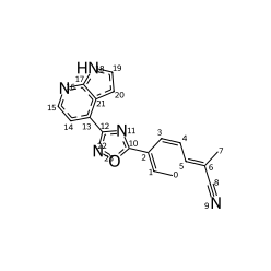 C\C=C(/C=C\C=C(/C)C#N)c1nc(-c2ccnc3[nH]ccc23)no1